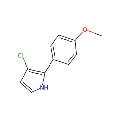 COc1ccc(-c2[nH]ccc2Cl)cc1